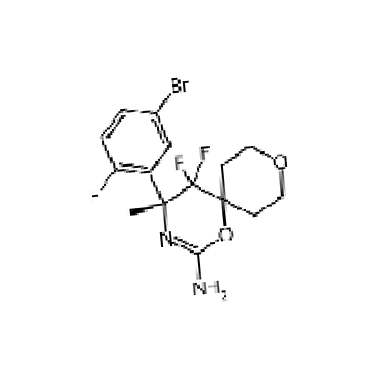 C[C@]1(c2cc(Br)ccc2F)N=C(N)OC2(CCOCC2)C1(F)F